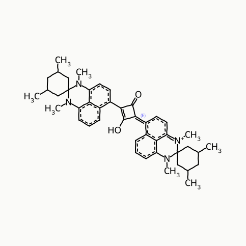 CC1CC(C)CC2(C1)N(C)c1cccc3c(C4=C(O)/C(=c5/ccc6c7c(cccc57)N(C)C5(CC(C)CC(C)C5)[N+]=6C)C4=O)ccc(c13)N2C